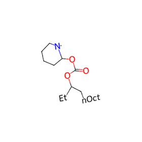 CCCCCCCCCC(CC)OC(=O)OC1CCCC[N]1